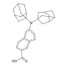 O=C(O)c1ccc2cc(N(C34CC5CC(C3)C(C5)C4)C34CC5CC(CC3C5)C4)ccc2c1